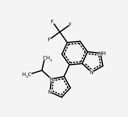 CC(C)n1nccc1-c1cc(C(F)(F)F)cc2[nH]cnc12